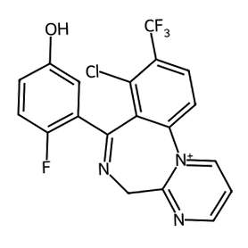 Oc1ccc(F)c(C2=NCc3nccc[n+]3-c3ccc(C(F)(F)F)c(Cl)c32)c1